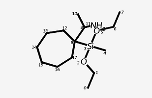 CCO[Si](C)(OCC)C1(C(C)N)CCCCCC1